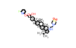 C=C(C)[C@@H]1CC[C@]2(NCCN3CCS(=O)(=O)CC3)CC[C@]3(C)[C@H](CC[C@@H]4[C@@]5(C)CC=C(C6=CC[C@@](CCOc7cccc(F)n7)(C(=O)O)CC6)C(C)(C)[C@@H]5CC[C@]43C)[C@@H]12